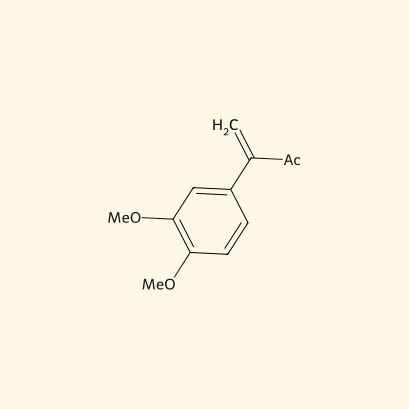 C=C(C(C)=O)c1ccc(OC)c(OC)c1